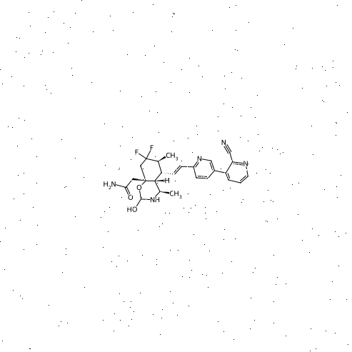 C[C@H]1NC(O)O[C@]2(CC(N)=O)CC(F)(F)[C@@H](C)[C@H](/C=C/c3ccc(-c4cccnc4C#N)cn3)[C@H]12